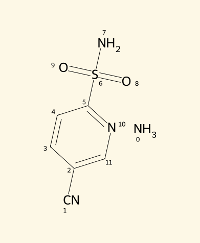 N.N#Cc1ccc(S(N)(=O)=O)nc1